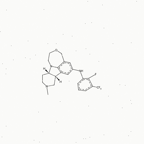 CN1CC[C@H]2[C@@H](C1)c1cc(Nc3cccc(C(F)(F)F)c3F)cc3c1N2CCOC3